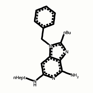 CCCCCCCNc1cc2c(nc(CCCC)n2Cc2ccccc2)c(N)n1